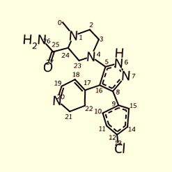 CN1CCN(c2[nH]nc(-c3ccc(Cl)cc3)c2C2=CC=NCC2)CC1C(N)=O